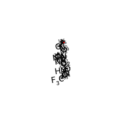 Nc1nccn2c([C@@H]3CCCN(C(=O)C45CC(C4)C5)C3)nc(-c3ccc(C(=O)Nc4cc(C(F)(F)F)ccn4)cc3)c12